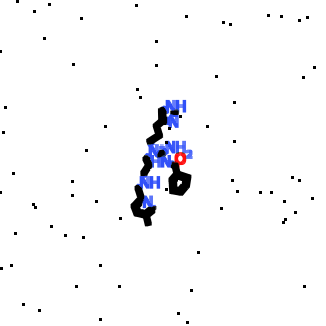 Cc1ccc(CNCCC[N+](CCCc2c[nH]cn2)=C(N)NC(=O)c2ccccc2)nc1